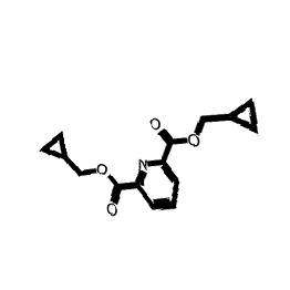 O=C(OCC1CC1)c1cccc(C(=O)OCC2CC2)n1